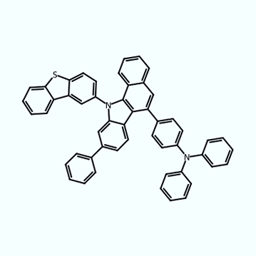 c1ccc(-c2ccc3c4c(-c5ccc(N(c6ccccc6)c6ccccc6)cc5)cc5ccccc5c4n(-c4ccc5sc6ccccc6c5c4)c3c2)cc1